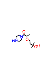 CC(OCCC(C)(C)O)C(=O)N1CCNCC1